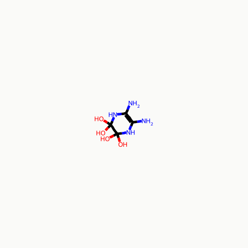 NC1=C(N)NC(O)(O)C(O)(O)N1